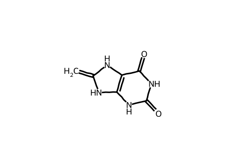 C=C1Nc2[nH]c(=O)[nH]c(=O)c2N1